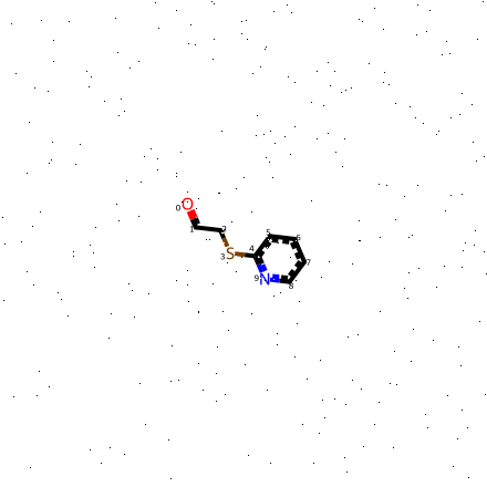 O=CCSc1ccccn1